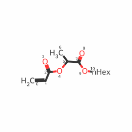 C=CC(=O)OC(C)C(=O)OCCCCCC